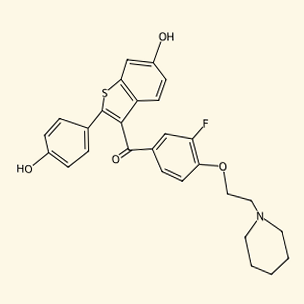 O=C(c1ccc(OCCN2CCCCC2)c(F)c1)c1c(-c2ccc(O)cc2)sc2cc(O)ccc12